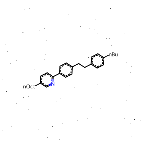 CCCCCCCCc1ccc(-c2ccc(CCc3ccc(CCCC)cc3)cc2)nc1